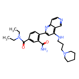 CCN(CC)C(=O)c1ccc(-c2cc(NCCCN3CCCCC3)c3cnccc3n2)c(C(N)=O)c1